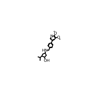 COc1cc(-c2ccc(CNC3CC(O)C(C(C)C)C3)cc2)cnc1OC